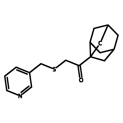 O=C(CSCc1cccnc1)C12CC3CC(CC1C3)C2